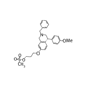 COc1ccc(C2CN(Cc3ccccc3)Cc3cc(OCCCOS(C)(=O)=O)ccc32)cc1